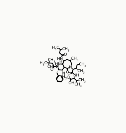 CC[C@H](C)[C@@H](C(=O)N[C@H](C(=O)O)C(C)C)N1CC(C)C[C@H](NC(=O)CC(C)C)[C@H]2NN(C(=O)CC(C)(C)C)[C@@H](Cc3ccccc3)[C@@H](N)C2C1=O